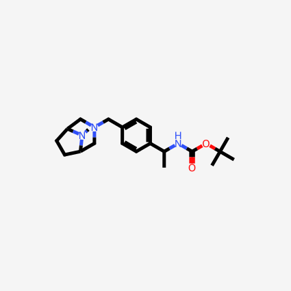 CC(NC(=O)OC(C)(C)C)c1ccc(CN2CC3CCC(C2)N3C)cc1